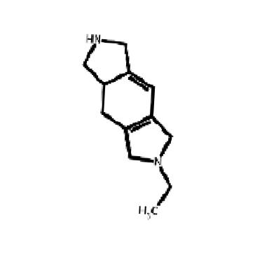 CCN1CC2=C(CC3CNCC3=C2)C1